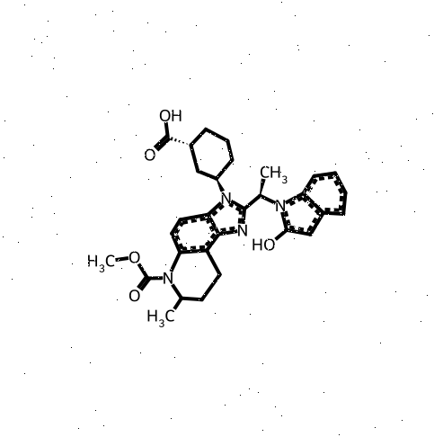 COC(=O)N1c2ccc3c(nc([C@@H](C)n4c(O)cc5ccccc54)n3[C@@H]3CCC[C@@H](C(=O)O)C3)c2CCC1C